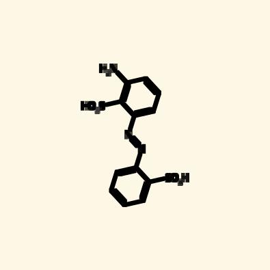 Nc1cccc(/N=N/c2ccccc2S(=O)(=O)O)c1S(=O)(=O)O